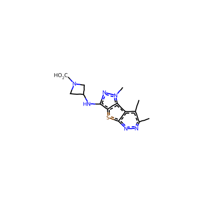 Cc1nnc2sc3c(NC4CN(C(=O)O)C4)nn(C)c3c2c1C